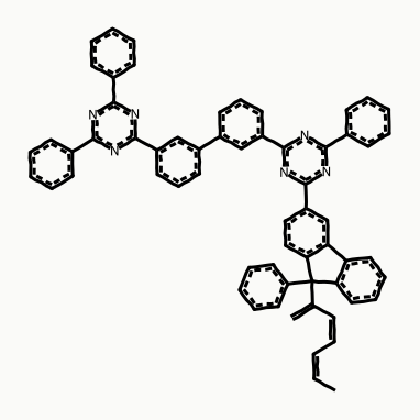 C=C(/C=C\C=C/C)C1(c2ccccc2)c2ccccc2-c2cc(-c3nc(-c4ccccc4)nc(-c4cccc(-c5cccc(-c6nc(-c7ccccc7)nc(-c7ccccc7)n6)c5)c4)n3)ccc21